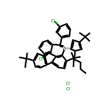 CCCCC1C=C(C(C)(C)C)C=[C]1[Zr+2](=[C](c1cccc(Cl)c1)c1cccc(Cl)c1)[c]1c(C(C)(C)C)ccc2c1Cc1cc(C(C)(C)C)ccc1-2.[Cl-].[Cl-]